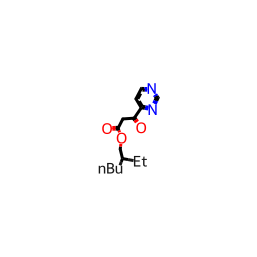 CCCCC(CC)COC(=O)CC(=O)c1ccncn1